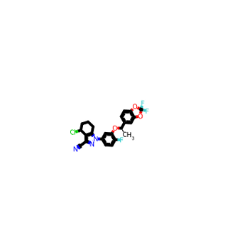 C[C@H](Oc1cc(-n2nc(C#N)c3c2CCCC3Cl)ccc1F)c1ccc2c(c1)OC(F)(F)O2